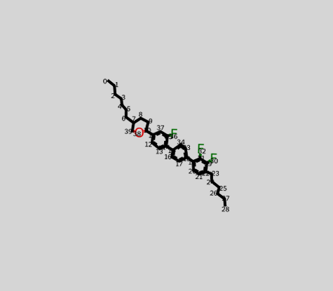 CCCCCCCC1CCC(c2ccc(-c3ccc(-c4ccc(CCCCCC)c(F)c4F)cc3)c(F)c2)OC1